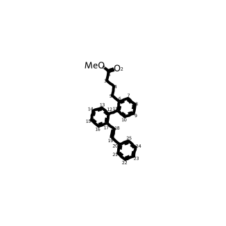 COC(=O)CCCc1ccccc1-c1ccccc1/C=C/c1ccccc1